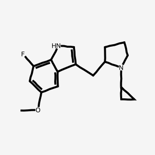 COc1cc(F)c2[nH]cc(CC3CCCN3C3CC3)c2c1